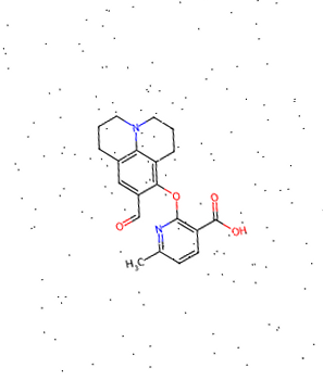 Cc1ccc(C(=O)O)c(Oc2c(C=O)cc3c4c2CCCN4CCC3)n1